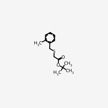 Cc1ccccc1CSCC(=O)OC(C)(C)C